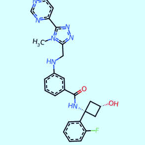 Cn1c(CNc2cccc(C(=O)N[C@]3(c4ccccc4F)C[C@H](O)C3)c2)nnc1-c1ccncn1